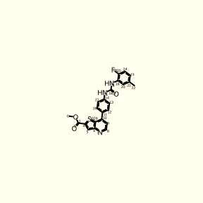 COC(=O)c1cc2nccc(-c3ccc(NC(=O)Nc4cc(C)ccc4F)cc3)c2s1